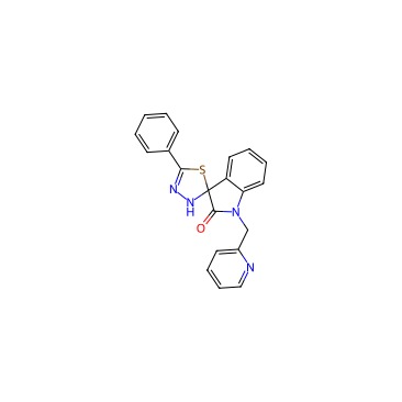 O=C1N(Cc2ccccn2)c2ccccc2C12NN=C(c1ccccc1)S2